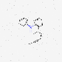 CC#C/C=C\C(C)C1=C(NC2=CC=CCC2)C=CCC1